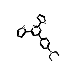 CCN(CC)c1ccc(-c2cc(-c3cccs3)nc(-c3cccs3)c2)cc1